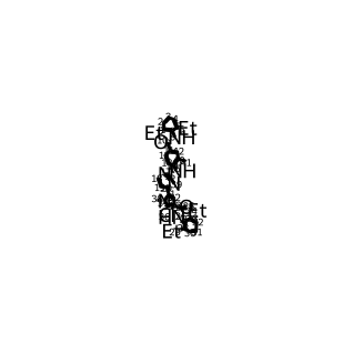 CCc1cccc(CC)c1NC(=O)c1ccc(Nc2nccc(-c3cc(C(=O)Nc4c(CC)cccc4CC)c(Cl)n3C)n2)c(C)c1